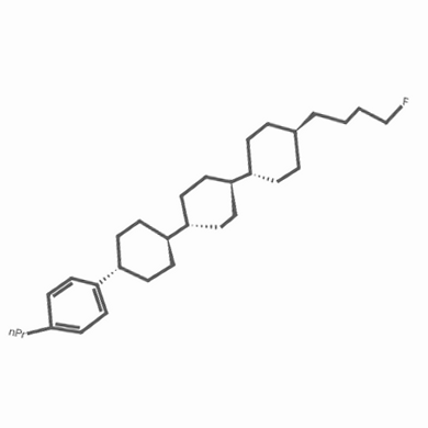 CCCc1ccc([C@H]2CC[C@H]([C@H]3CC[C@H]([C@H]4CC[C@H](CCCCF)CC4)CC3)CC2)cc1